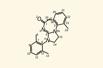 CC(=O)N=C1N(c2c(C)cccc2C)CCN1c1c(C)cccc1C